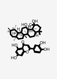 C[C@@H]1[C@H]2[C@H]3CC[C@@H]4[C@]5(C)[C@@H](CC[C@@]4(C)[C@]3(C)CC[C@@]2(C)CC[C@H]1C)C(C)(C)CCC5(O)C(=O)O.O=c1cc(-c2ccc(O)c(O)c2)oc2cc(O)cc(O)c12